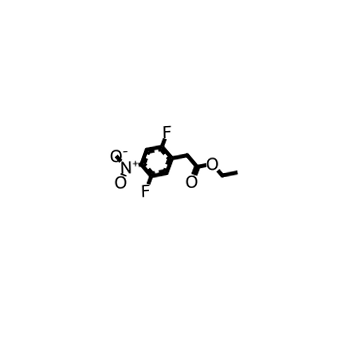 CCOC(=O)Cc1cc(F)c([N+](=O)[O-])cc1F